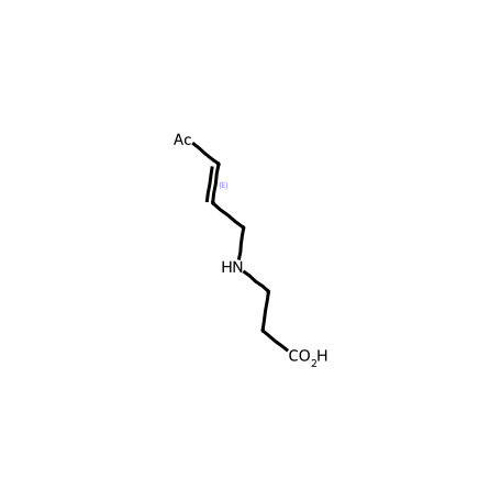 CC(=O)/C=C/CNCCC(=O)O